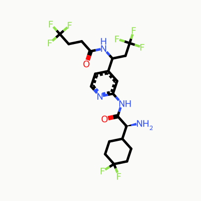 N[C@H](C(=O)Nc1cc(C(CC(F)(F)F)NC(=O)CCC(F)(F)F)ccn1)C1CCC(F)(F)CC1